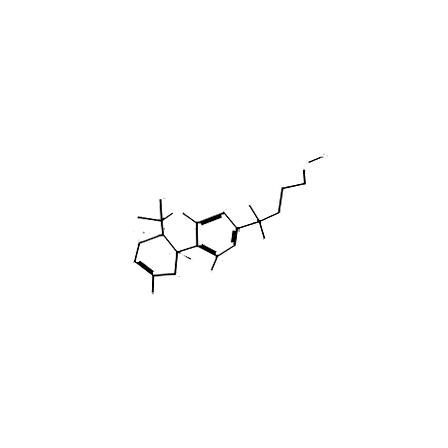 CC(C)(CCCO[N+](=O)[O-])c1cc(O)c2c(c1)OC(C)(C)[C@@H]1CC=C(C(=O)O)C[C@@H]21